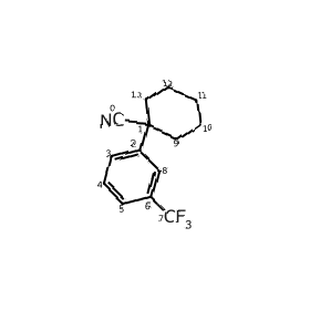 N#CC1(c2cccc(C(F)(F)F)c2)CCCCC1